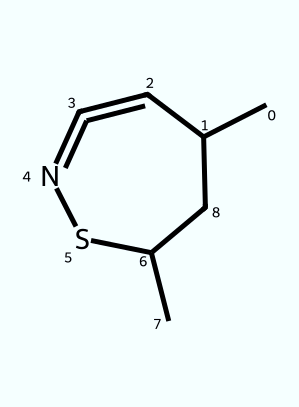 CC1C=C=NSC(C)C1